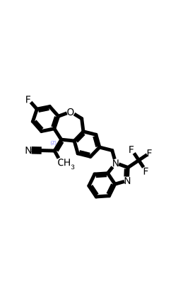 C/C(C#N)=C1\c2ccc(Cn3c(C(F)(F)F)nc4ccccc43)cc2COc2cc(F)ccc21